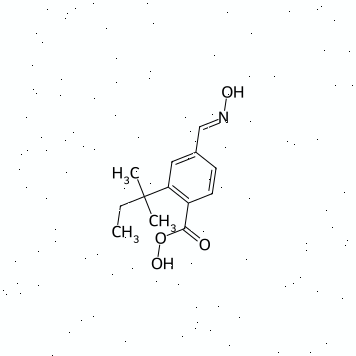 CCC(C)(C)c1cc(C=NO)ccc1C(=O)OO